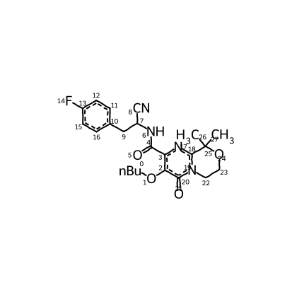 CCCCOc1c(C(=O)NC(C#N)Cc2ccc(F)cc2)nc2n(c1=O)CCOC2(C)C